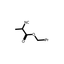 [C-]#[N+]C(C)C(=O)OCC(C)C